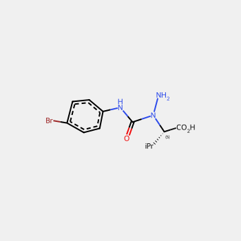 CC(C)[C@@H](C(=O)O)N(N)C(=O)Nc1ccc(Br)cc1